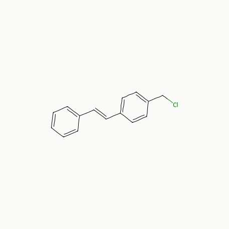 ClCc1ccc(C=Cc2ccccc2)cc1